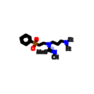 CCN(CC)CCCN(CCS(=O)(=O)c1ccccc1)/C(=N/C#N)SC